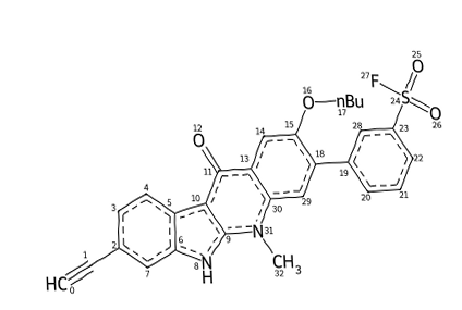 C#Cc1ccc2c(c1)[nH]c1c2c(=O)c2cc(OCCCC)c(-c3cccc(S(=O)(=O)F)c3)cc2n1C